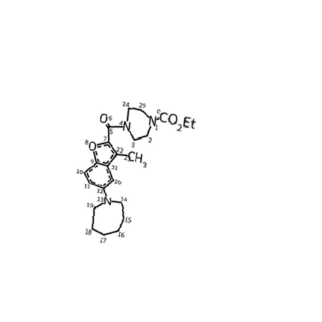 CCOC(=O)N1CCN(C(=O)c2oc3ccc(N4CCCCCC4)cc3c2C)CC1